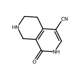 N#Cc1c[nH]c(=O)c2c1CCNC2